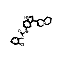 O=C(Nc1ccc2[nH]cc(C3=CCN4CCCCC4C3)c2c1)Oc1ccccc1Cl